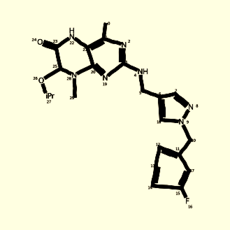 Cc1nc(NCc2cnn(Cc3cccc(F)c3)c2)nc2c1NC(=O)C(OC(C)C)N2C